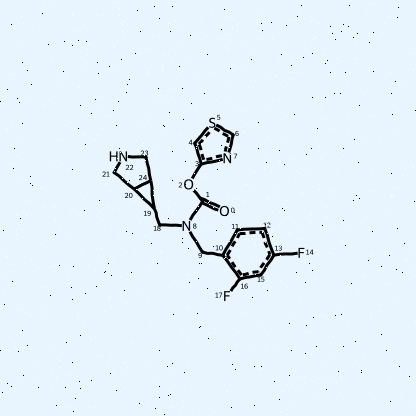 O=C(Oc1cscn1)N(Cc1ccc(F)cc1F)CC1C2CNCC21